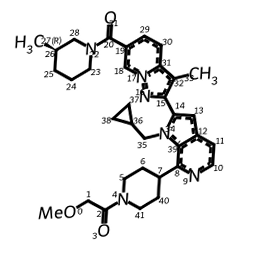 COCC(=O)N1CCC(c2nccc3cc(-c4nn5cc(C(=O)N6CCC[C@@H](C)C6)ccc5c4C)n(CC4CC4)c23)CC1